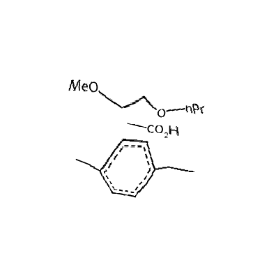 CC(=O)O.CCCOCCOC.Cc1ccc(C)cc1